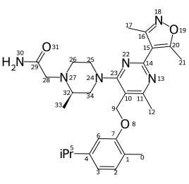 Cc1ccc(C(C)C)cc1OCc1c(C)nc(-c2c(C)noc2C)nc1N1CCN(CC(N)=O)[C@H](C)C1